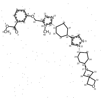 COC(=O)c1cccc(OCc2nnc([C@H]3CC[C@H](c4cnn([C@H]5CC[C@H](N6CC7(COC7)C6)CC5)c4)CC3)n2C)c1